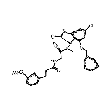 COc1cccc(C=CC(=O)NCC(=O)N(C)N2c3c(OCc4ccccc4)cc(Cl)cc3SC2Cl)c1